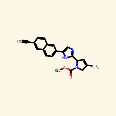 C#Cc1ccc2cc(-c3cnc(C4C=C(C)CN4C(=O)OC(C)(C)C)[nH]3)ccc2c1